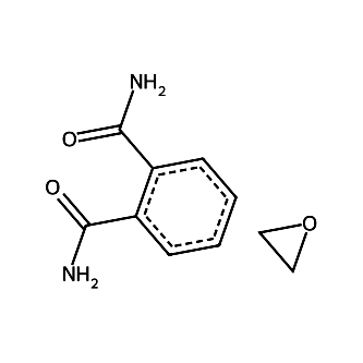 C1CO1.NC(=O)c1ccccc1C(N)=O